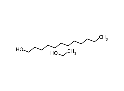 CCCCCCCCCCCCO.CCO